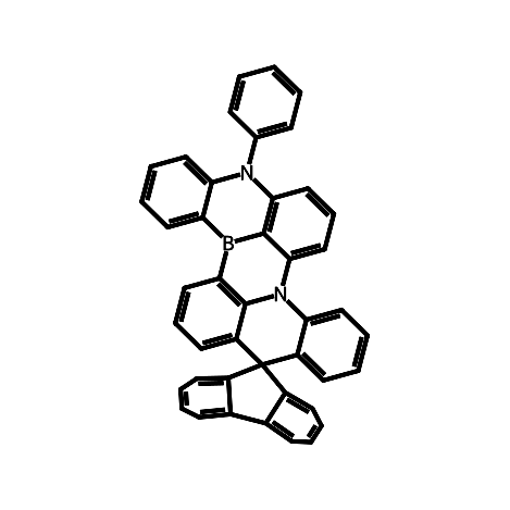 c1ccc(N2c3ccccc3B3c4cccc5c4N(c4ccccc4C54c5ccccc5-c5ccccc54)c4cccc2c43)cc1